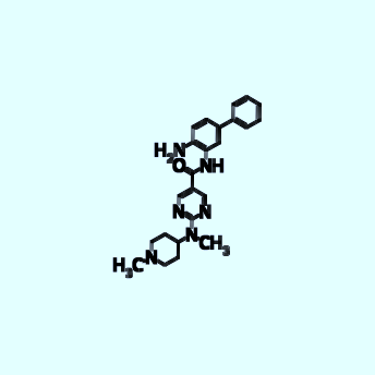 CN1CCC(N(C)c2ncc(C(=O)Nc3cc(-c4ccccc4)ccc3N)cn2)CC1